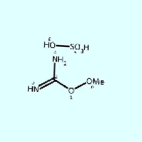 COOC(=N)N.O=S(=O)(O)O